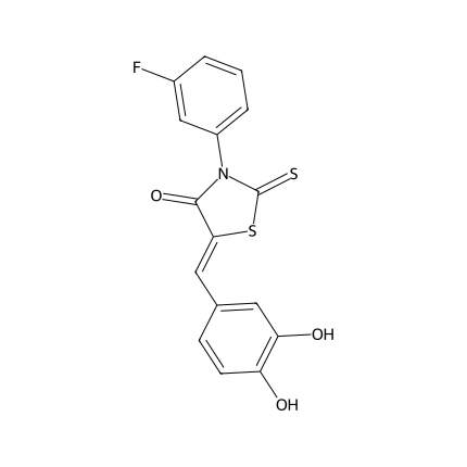 O=C1C(=Cc2ccc(O)c(O)c2)SC(=S)N1c1cccc(F)c1